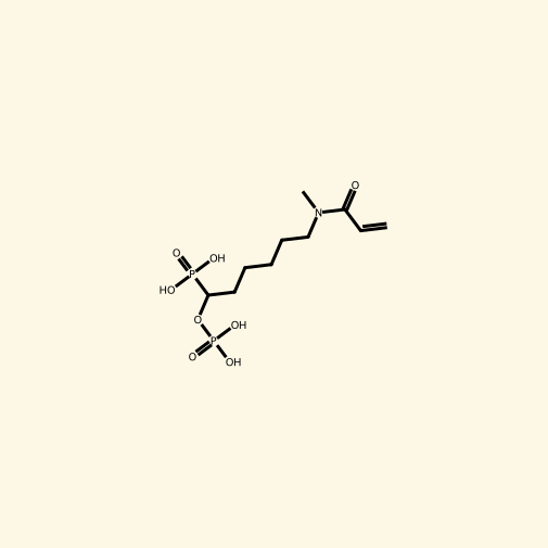 C=CC(=O)N(C)CCCCCC(OP(=O)(O)O)P(=O)(O)O